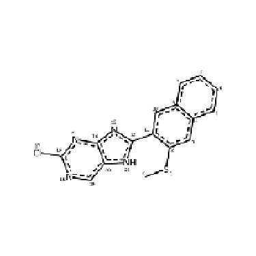 CSc1cc2ccccc2cc1-c1nc2nc(Cl)ncc2[nH]1